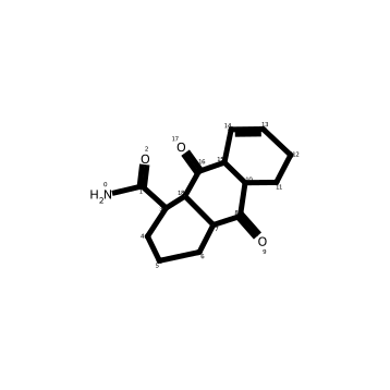 NC(=O)C1CCCC2C(=O)C3CCC=CC3C(=O)C12